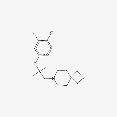 CC(C)(CN1CCC2(CC1)CSC2)Oc1ccc(Cl)c(F)c1